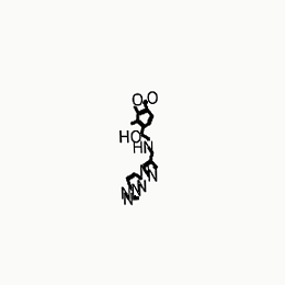 Cc1c(C(O)CNCc2cnn(-c3ccc4nncn4n3)c2)ccc2c1COC2=O